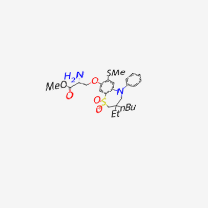 CCCCC1(CC)CN(c2ccccc2)c2cc(SC)c(OC[C@@H](N)C(=O)OC)cc2S(=O)(=O)C1